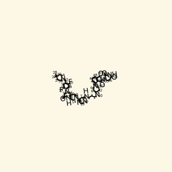 CN(CCCNc1cc(N2CCC3(CC2)CN(c2cc(F)c(CN4CCC(C)(C)CC4)cc2F)CC(=O)N3)ncn1)C1CCN(c2cccc3c2C(=O)N(C2CCC(=O)NC2=O)C3=O)CC1